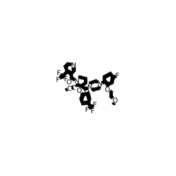 CCC[C@H]1N(C(=O)c2cnccc2C(F)(F)F)CCC[C@@]1(Oc1ccc(C(F)(F)F)cc1)C(=O)N1CCN(c2ccc(F)cc2OCCOC)CC1